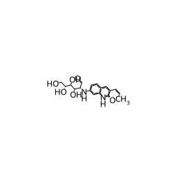 C/C=C\c1cc2ccc(N[C@@H](C=O)[C@@H](O)[C@H](O)[C@H](O)CO)cc2[nH]c1=O